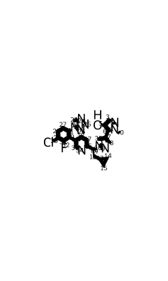 Cn1ncc(O)c1-c1cnn([C@@H](CC2CC2)c2ccc(-c3c(-n4cnnn4)ccc(Cl)c3F)cn2)c1